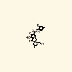 CC(C)CN1C[C@@H](C)CN2C(=O)c3c(O)c(=O)c(C(=O)NCc4ccc(F)cc4F)cn3CP12